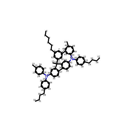 CCCCCCc1cc(C)cc(C2(C)c3cc(N(c4ccc(C)cc4)c4ccc(CCCC)cc4)ccc3-c3ccc(N(c4ccc(C)cc4)c4ccc(CCCC)cc4)cc32)c1